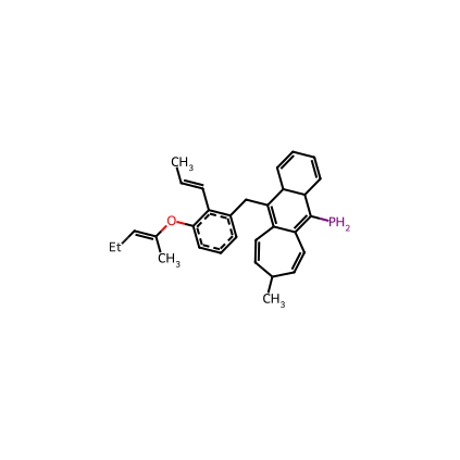 C/C=C/c1c(CC2=C3C=CC(C)C=CC3=C(P)C3C=CC=CC23)cccc1O/C(C)=C/CC